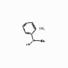 CCCN(c1ccccc1)C(C)CC.[SiH4]